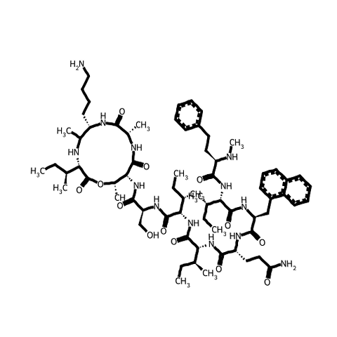 CC[C@H](C)[C@H](NC(=O)[C@@H](CCc1ccccc1)NC)C(=O)N[C@@H](Cc1cccc2ccccc12)C(=O)N[C@H](CCC(N)=O)C(=O)N[C@@H](C(=O)N[C@H](C(=O)N[C@@H](CO)C(=O)N[C@H]1C(=O)N[C@@H](C)C(=O)N[C@@H](CCCCN)C(C)N[C@@H]([C@@H](C)CC)C(=O)O[C@H]1C)[C@@H](C)CC)[C@@H](C)CC